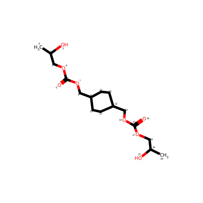 CC(O)COC(=O)OCC1CCC(COC(=O)OCC(C)O)CC1